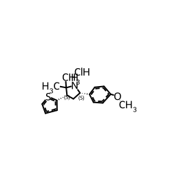 COc1ccc([C@@H]2C[C@H](c3cccs3)C(C)(C)N2)cc1.Cl